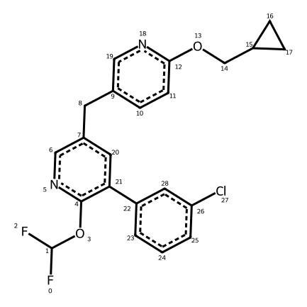 FC(F)Oc1ncc(Cc2ccc(OCC3CC3)nc2)cc1-c1cccc(Cl)c1